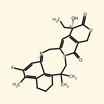 CC[C@@]1(O)C(=O)OCc2c1cc1n(c2=O)CC(C)(C)C2=c3c(c(C)c(F)c/c3=N/C1)CCC2